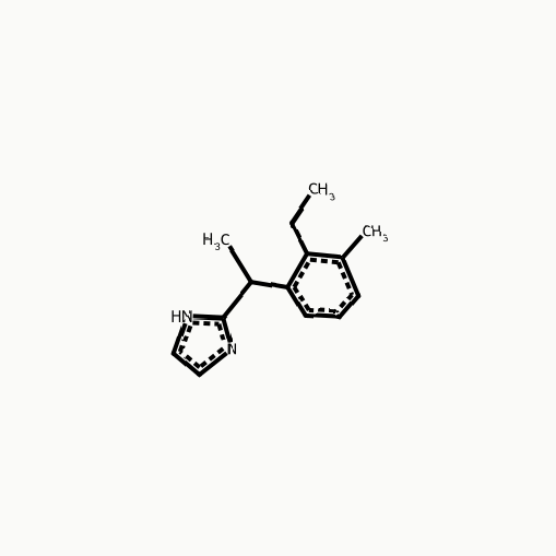 CCc1c(C)cccc1C(C)c1ncc[nH]1